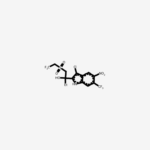 CCC(O)(CS(=O)(=O)CC(F)(F)F)c1[nH]c2cc(C(F)(F)F)c([N+](=O)[O-])cc2c1Cl